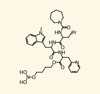 CC(C)CC(NC(=O)N1CCCCCC1)C(=O)NC(Cc1cn(C)c2ccccc12)C(=O)NC(Cc1ccccn1)C(=O)OCCCCON(O)O